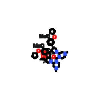 COc1ccc([C@@H]2CN(C3CN(C)CCN3C(=O)N3CCN(C)CC3N3C[C@@H](c4ccc(OC)c(OC5CCCC5)c4)[C@](C)([C@@H](C)O)C3)C[C@@]2(C)[C@@H](C)O)cc1OC1CCCC1